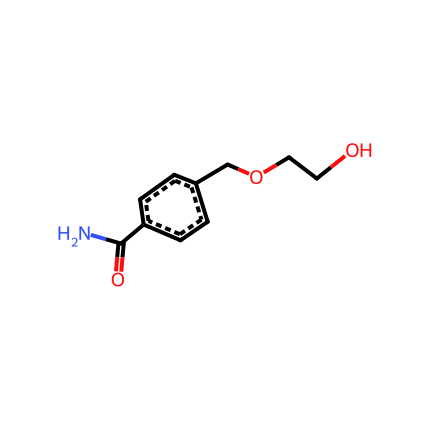 NC(=O)c1ccc(COCCO)cc1